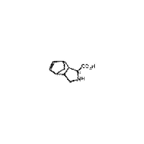 O=C(O)[C@H]1NCC2C3C=CC(C3)C21